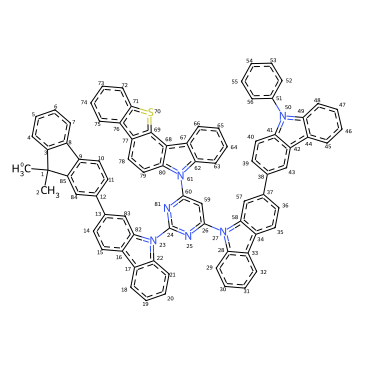 CC1(C)c2ccccc2-c2ccc(-c3ccc4c5ccccc5n(-c5nc(-n6c7ccccc7c7ccc(-c8ccc9c(c8)c8ccccc8n9-c8ccccc8)cc76)cc(-n6c7ccccc7c7c8sc9ccccc9c8ccc76)n5)c4c3)cc21